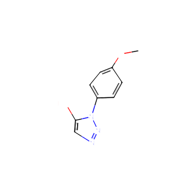 COc1ccc(-n2nncc2O)cc1